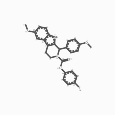 COc1ccc(C2c3[nH]c4ccc(SC)cc4c3CCN2C(=S)Oc2ccc(F)cc2)cc1